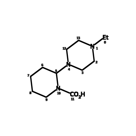 CCN1CCN(C2CCCCN2C(=O)O)CC1